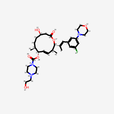 C/C(=C\c1cc(F)cc(N2CCOCC2)c1)[C@H]1OC(=O)C[C@H](O)CC[C@H](C)[C@@H](OC(=O)N2CCN(CCO)CC2)/C=C/[C@@H]1C